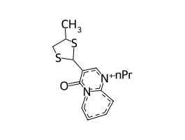 CCC[n+]1cc(C2SCC(C)S2)c(=O)n2ccccc21